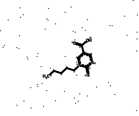 CCCCCn1cc(C(=O)O)cnc1=S